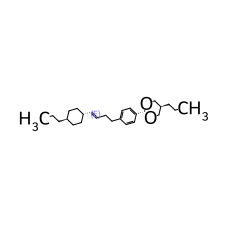 CCC[C@H]1CC[C@H](/C=C/CCc2ccc([C@H]3OC[C@H](CCC)CO3)cc2)CC1